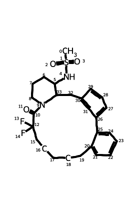 CS(=O)(=O)NC1CCCN2C(=O)C(F)(F)CCCCCc3ccccc3-c3cccc(c3)CC12